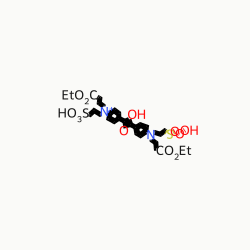 CCOC(=O)CCCN(CCCSOOO)c1ccc(C2=C(O)C(C3C=CC(=[N+](CCCC(=O)OCC)CCCS(=O)(=O)O)C=C3)C2=O)cc1